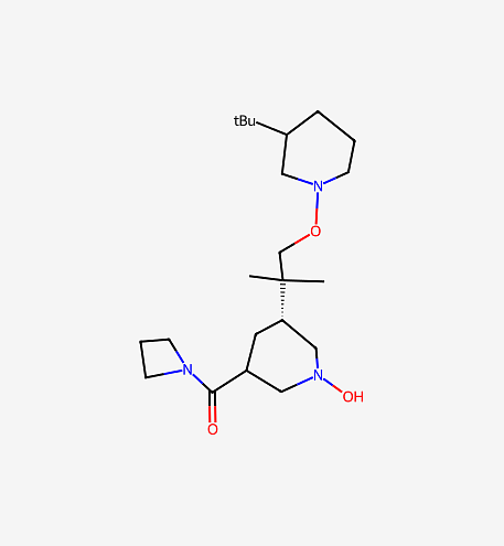 CC(C)(C)C1CCCN(OCC(C)(C)[C@H]2CC(C(=O)N3CCC3)CN(O)C2)C1